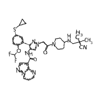 CC(C)(C#N)CNC1CCN(C(=O)Cn2cc(NC(=O)c3cnn4cccnc34)c(-c3cc(SC4CC4)ccc3OC(F)F)n2)CC1